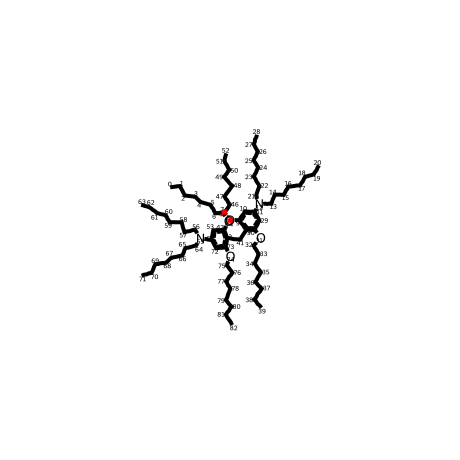 CCCCCCCCOc1cc(N(CCCCCCCC)CCCCCCCC)cc(OCCCCCCCC)c1Cc1c(OCCCCCCCC)cc(N(CCCCCCCC)CCCCCCCC)cc1OCCCCCCCC